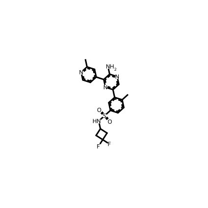 Cc1cc(-c2nc(-c3cc(S(=O)(=O)NC4CC(F)(F)C4)ccc3C)cnc2N)ccn1